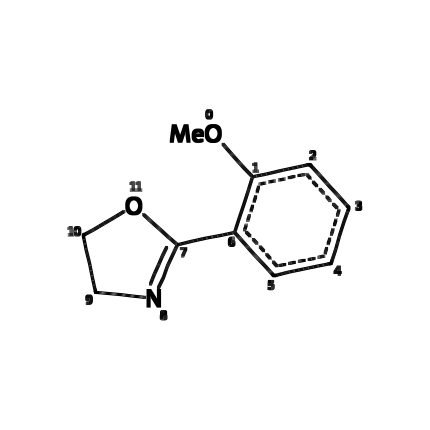 COc1ccccc1C1=NCCO1